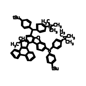 CC(C)(C)c1ccc(C(c2ccc([Si](C)(C)C)cc2)c2cc3c(c4c2oc2cc(N(c5ccc(C(C)(C)C)cc5)c5ccc([Si](C)(C)C)cc5)ccc24)-c2c(c4ccccc4c4ccccc24)C3(C)C)cc1